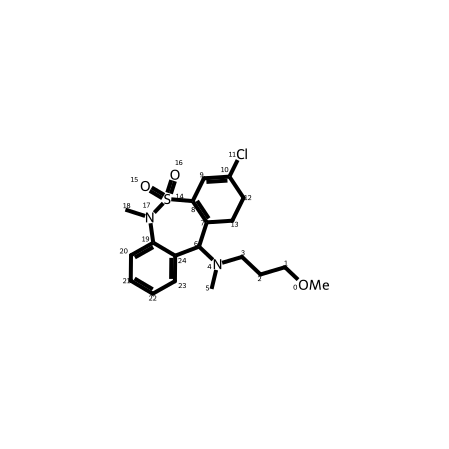 COCCCN(C)C1C2=C(C=C(Cl)CC2)S(=O)(=O)N(C)c2ccccc21